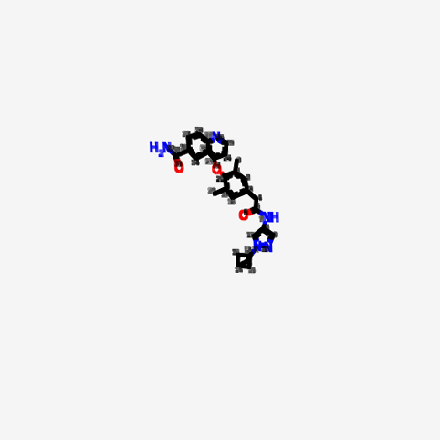 Cc1cc(CC(=O)Nc2cnn(C34CC(C3)C4)c2)cc(C)c1Oc1ccnc2ccc(C(N)=O)cc12